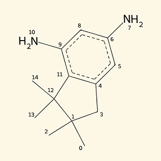 CC1(C)Cc2cc(N)cc(N)c2C1(C)C